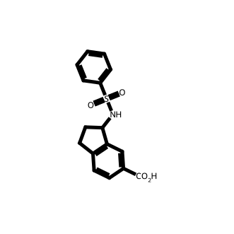 O=C(O)c1ccc2c(c1)C(NS(=O)(=O)c1ccccc1)CC2